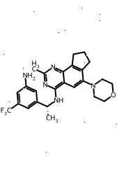 Cc1nc(N[C@H](C)c2cc(N)cc(C(F)(F)F)c2)c2cc(N3CCOCC3)c3c(c2n1)CCC3